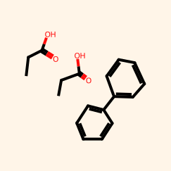 CCC(=O)O.CCC(=O)O.c1ccc(-c2ccccc2)cc1